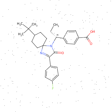 CC[C@H](c1ccc(C(=O)O)cc1)N1C(=O)C(c2ccc(F)cc2)=NC12CCC(C(C)(C)C)CC2